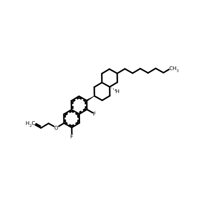 C=CCOc1cc2ccc([C@@H]3CC[C@@H]4CC(CCCCCCC)CCC4C3)c(F)c2cc1F